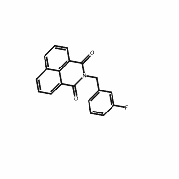 O=C1c2cccc3cccc(c23)C(=O)N1Cc1cccc(F)c1